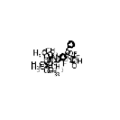 CC(C)[Si](OC[C@@H](Cc1c(Br)cc(OCc2ccccc2)c(N(CC(=O)O)C(=O)C(F)(F)F)c1F)NC(=O)OC(C)(C)C)(C(C)C)C(C)C